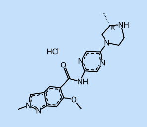 COc1cc2nn(C)cc2cc1C(=O)Nc1cnc(N2CCN[C@@H](C)C2)cn1.Cl